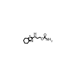 NC(=O)OCCNc1nc2c(s1)CCCC2